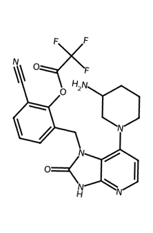 N#Cc1cccc(Cn2c(=O)[nH]c3nccc(N4CCCC(N)C4)c32)c1OC(=O)C(F)(F)F